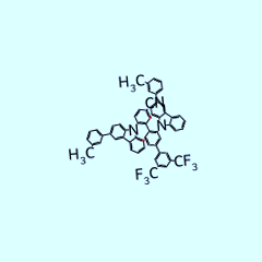 Cc1cccc(-c2ccc3c(c2)c2ccccc2n3-c2ccc(C#N)cc2-c2ccc(-c3cc(C(F)(F)F)cc(C(F)(F)F)c3)cc2-n2c3ccccc3c3cc(-c4cccc(C)c4)ccc32)c1